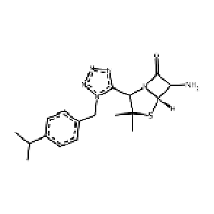 CC(C)c1ccc(Cn2nnnc2C2N3C(=O)C(N)[C@@H]3SC2(C)C)cc1